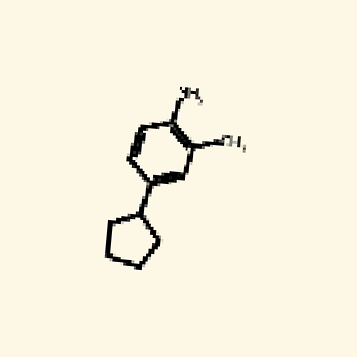 Cc1cc(C2CCCC2)ccc1N